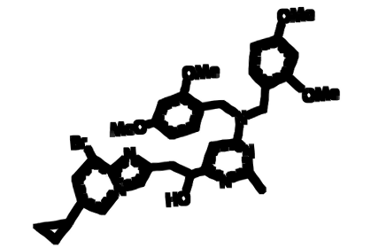 COc1ccc(CN(Cc2ccc(OC)cc2OC)c2cc(C(O)Cc3cn4cc(C5CC5)cc(Br)c4n3)nc(C)n2)c(OC)c1